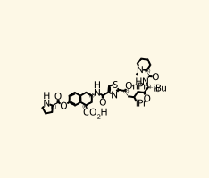 CCCO[C@H](CC(CC(=O)[C@@H](NC(=O)[C@H]1CCCCN1C)[C@@H](C)CC)C(C)C)c1nc(C(=O)N[C@H]2Cc3ccc(OC(=O)[C@H]4CCCN4)cc3[C@H](C(=O)O)C2)cs1